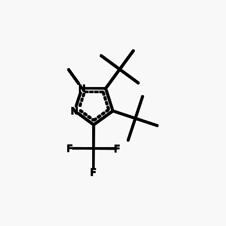 Cn1nc(C(F)(F)F)c(C(C)(C)C)c1C(C)(C)C